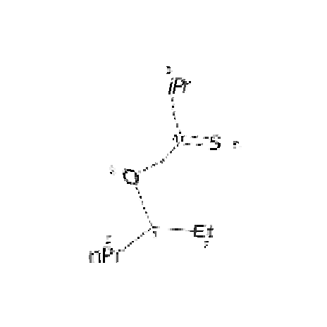 CCCC(CC)OC(=S)C(C)C